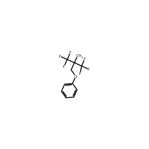 CC(COc1ccccc1)(C(F)(F)F)C(F)(F)F